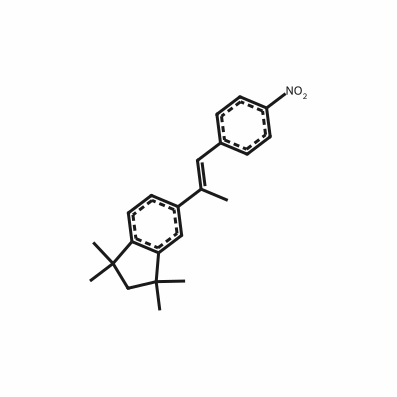 CC(=Cc1ccc([N+](=O)[O-])cc1)c1ccc2c(c1)C(C)(C)CC2(C)C